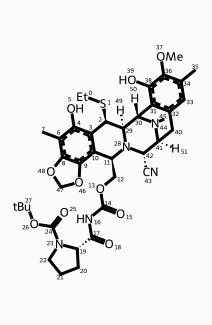 CCS[C@@H]1c2c(O)c(C)c3c(c2[C@H](COC(=O)NC(=O)[C@@H]2CCCN2C(=O)OC(C)(C)C)N2[C@@H]1[C@@H]1c4c(cc(C)c(OC)c4O)C[C@@H]([C@@H]2C#N)N1C)OCO3